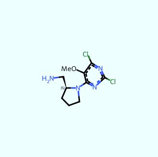 COc1c(Cl)nc(Cl)nc1N1CCC[C@H]1CN